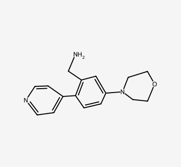 NCc1cc(N2CCOCC2)ccc1-c1ccncc1